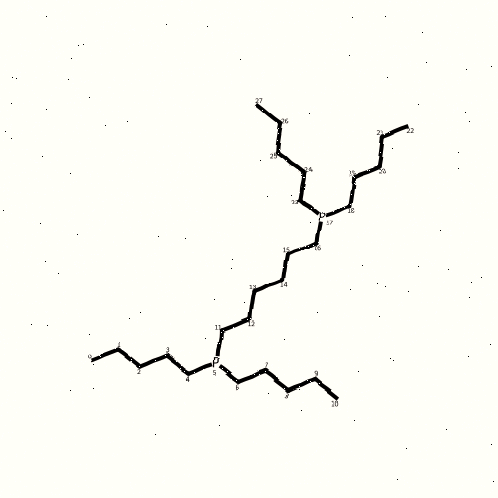 CCCCCP(CCCCC)CCCCCCP(CCCCC)CCCCC